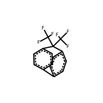 FC(F)(F)C1(C(F)(F)F)c2ccc(cc2)-c2ccc1cc2